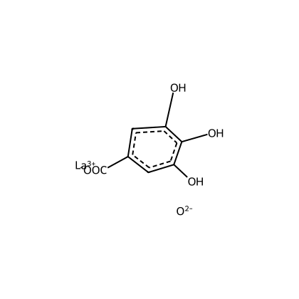 O=C([O-])c1cc(O)c(O)c(O)c1.[La+3].[O-2]